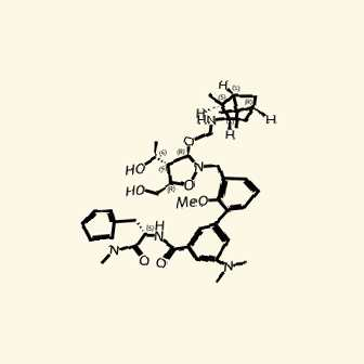 COc1c(CN2O[C@@H](CO)[C@H]([C@H](C)O)[C@H]2OCN[C@H]2C[C@H]3C[C@@H]([C@@H]2C)C3(C)C)cccc1-c1cc(C(=O)N[C@@H](Cc2ccccc2)C(=O)N(C)C)cc(N(C)C)c1